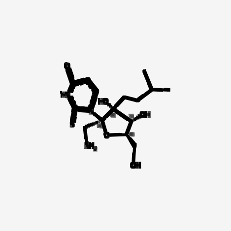 CC(C)CC[C@@]1(O)[C@H](O)[C@@H](CO)O[C@@]1(CN)n1ccc(=O)[nH]c1=S